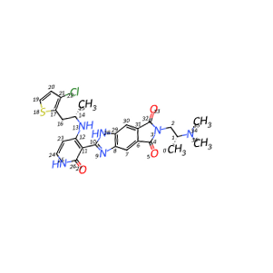 C[C@H](CN1C(=O)c2cc3nc(-c4c(N[C@@H](C)Cc5sccc5Cl)cc[nH]c4=O)[nH]c3cc2C1=O)N(C)C